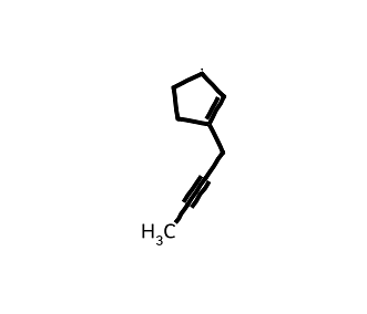 CC#CCC1=C[CH]CC1